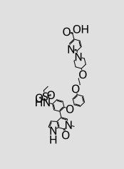 CCS(=O)(=O)Nc1ccc(Oc2cccc(OCCOC3CCN(c4ccc(C(=O)O)cn4)CC3)c2)c(-c2cn(C)c(=O)c3[nH]ccc23)c1